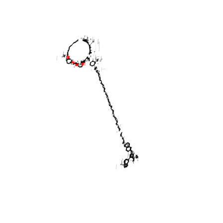 CO[C@H]1C[C@@H]2CCC[C@@](O)(O2)C(=O)C(=O)N2CCCC[C@H]2C(=O)O[C@H]([C@H](N)C[C@@H]2CC[C@@H](OC(=O)NCCOCCOCCOCCOCCOCCOCCOCCOCCOCCOCCOCCOCCC(=O)N3CCc4cc(Cn5nc(-c6cnc7[nH]ccc7c6)c6c(N)ncnc65)ccc4C3)[C@H](OC)C2)CC(=O)[C@H](C)/C=C(\C)[C@@H](O)[C@@H](O)C(=O)[C@H](C)C[C@H](C)/C=C/C=C/C=C/1C